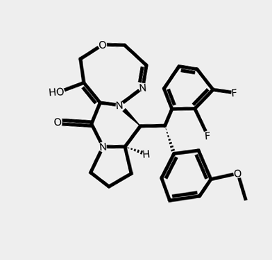 COc1cccc([C@@H](c2cccc(F)c2F)[C@H]2[C@H]3CCCN3C(=O)/C3=C(\O)COC/C=N\N32)c1